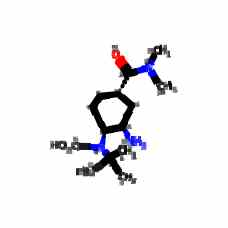 CCCCC(C)(C)N(C(=O)O)[C@H]1CC[C@H](C(=O)N(C)C)C[C@H]1N